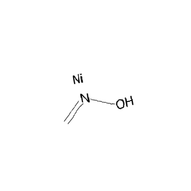 C=NO.[Ni]